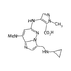 CNc1cc(Nc2cnn(C)c2C(=O)O)nn2c(CNC3CC3)cnc12